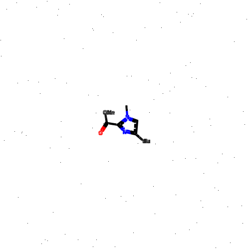 COC(=O)c1nc(C(C)(C)C)cn1C